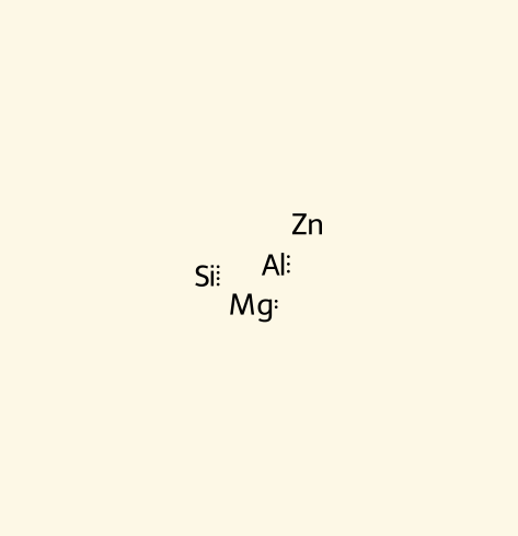 [Al].[Mg].[Si].[Zn]